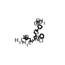 Cc1cc(CN(C)Cc2cc(-c3ccc(-c4cccc(S(C)(=O)=O)c4)s3)n(-c3ccccc3Cl)n2)on1